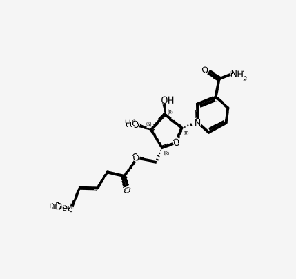 CCCCCCCCCCCCCC(=O)OC[C@H]1O[C@@H](N2C=CCC(C(N)=O)=C2)[C@H](O)[C@@H]1O